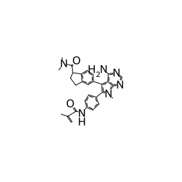 C=C(C)C(=O)Nc1ccc(-c2c(-c3ccc4c(c3)CCC4C(=O)N(C)C)c3c(N)ncnc3n2C)cc1